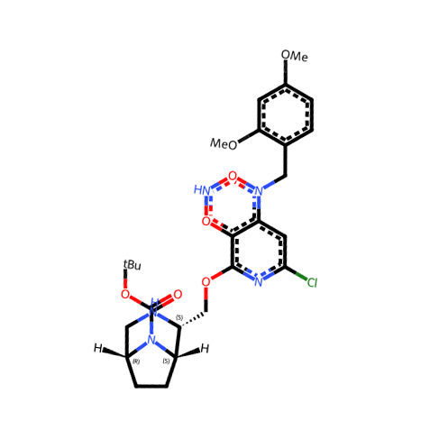 COc1ccc(Cn2o[nH]oc3c(OC[C@H]4NC[C@H]5CC[C@@H]4N5C(=O)OC(C)(C)C)nc(Cl)cc32)c(OC)c1